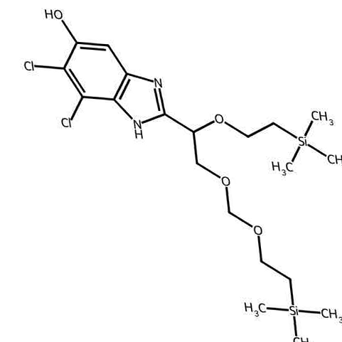 C[Si](C)(C)CCOCOCC(OCC[Si](C)(C)C)c1nc2cc(O)c(Cl)c(Cl)c2[nH]1